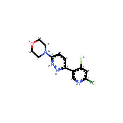 Fc1cc(Cl)ncc1-c1ccc(N2CCOCC2)nn1